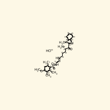 COc1cc(C)c(S(=O)(=O)NC=NNCCC[C@H](N)C(=O)c2nc3ccccc3n2C)c(C)c1C.Cl